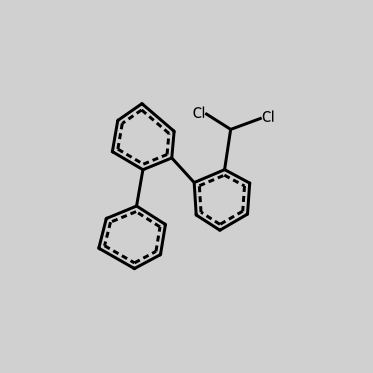 ClC(Cl)c1ccccc1-c1ccccc1-c1ccccc1